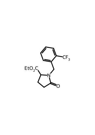 CCOC(=O)C1CCC(=O)N1Cc1ccccc1C(F)(F)F